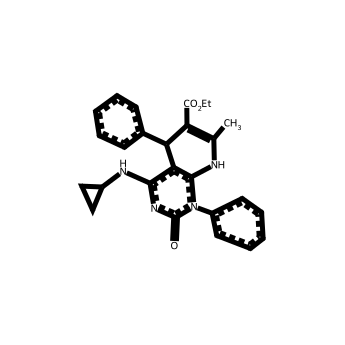 CCOC(=O)C1=C(C)Nc2c(c(NC3CC3)nc(=O)n2-c2ccccc2)C1c1ccccc1